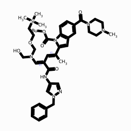 C/C(=C\C(=C/N(CO)COCC[Si](C)(C)C)C(=O)Nc1cnn(Cc2ccccc2)c1)c1cc2cc(C(=O)N3CCN(C)CC3)ccc2n1C(=O)OC(C)(C)C